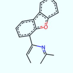 C/C=C(\N=C(C)C)c1cccc2c1oc1ccccc12